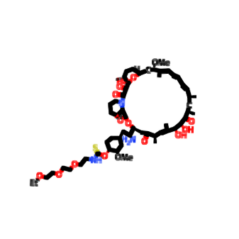 CCOCCOCCOCCNC(=S)O[C@@H]1CC[C@@H](C[C@@H](N)[C@@H]2CC(=O)[C@H](C)/C=C(\C)[C@@H](O)[C@@H](O)C(=O)[C@H](C)C[C@H](C)/C=C/C=C/C=C(\C)[C@@H](OC)C[C@@H]3CC[C@@H](C)[C@@](O)(O3)C(=O)C(=O)N3CCCC[C@H]3C(=O)O2)C[C@H]1OC